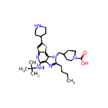 CCCCc1nc2c(NC(C)(C)C)nc3cc(C4CCNCC4)sc3c2n1CC1CCN(C(=O)O)CC1